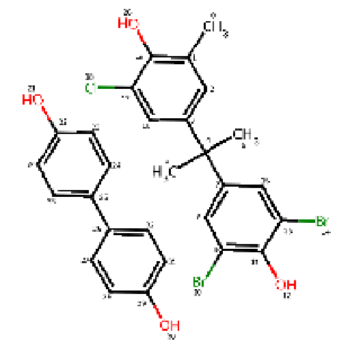 Cc1cc(C(C)(C)c2cc(Br)c(O)c(Br)c2)cc(Cl)c1O.Oc1ccc(-c2ccc(O)cc2)cc1